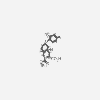 Cc1ccc(O[C@H]2CC[C@H]3CN(C(=O)OC(C)(C)C)[C@H](C(=O)O)C[C@H]3C2)c(C#N)c1